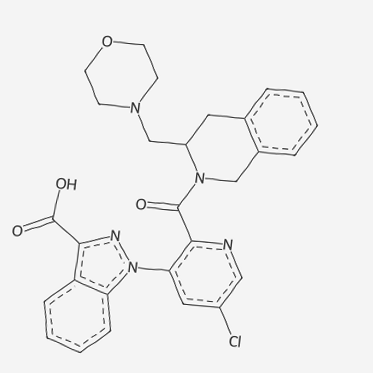 O=C(O)c1nn(-c2cc(Cl)cnc2C(=O)N2Cc3ccccc3CC2CN2CCOCC2)c2ccccc12